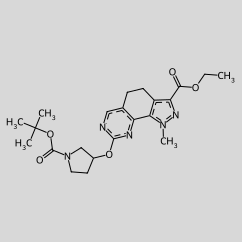 CCOC(=O)c1nn(C)c2c1CCc1cnc(OC3CCN(C(=O)OC(C)(C)C)C3)nc1-2